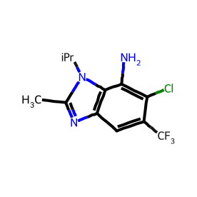 Cc1nc2cc(C(F)(F)F)c(Cl)c(N)c2n1C(C)C